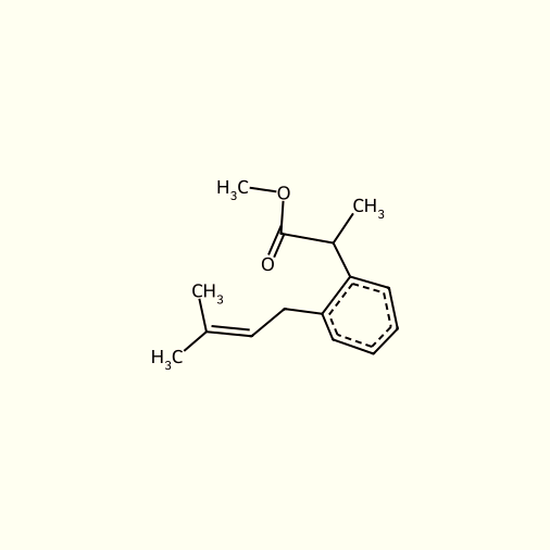 COC(=O)C(C)c1ccccc1CC=C(C)C